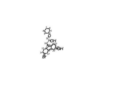 OC(COc1ccccc1)Cn1c2ccc(Br)cc2c2c[n+](O)ccc21